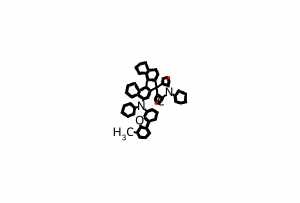 Cc1cccc2c1oc1c(N(c3ccccc3)c3cc4c(c5ccccc35)-c3c(ccc5ccccc35)C43c4ccccc4N(c4ccccc4)c4ccccc43)cccc12